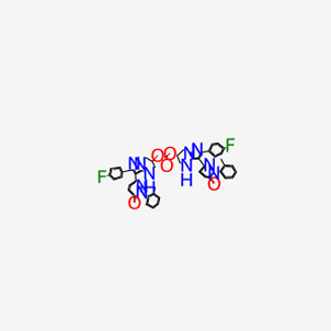 Cc1ccccc1-n1nc(-c2c(-c3ccc(F)cc3)nn3c2NCC(OC(=O)OC2CNc4c(-c5ccc(=O)n(-c6ccccc6C)n5)c(-c5ccc(F)cc5)nn4C2)C3)ccc1=O